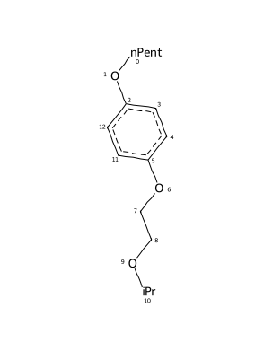 CCCCCOc1ccc(OCCOC(C)C)cc1